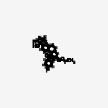 CCO/N=C(/C)C[C@@H]1CCc2cc(C(O)(CF)C(F)(F)F)ccc2N1S(=O)(=O)c1ccc(F)cc1